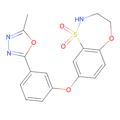 Cc1nnc(-c2cccc(Oc3ccc4c(c3)S(=O)(=O)NCCO4)c2)o1